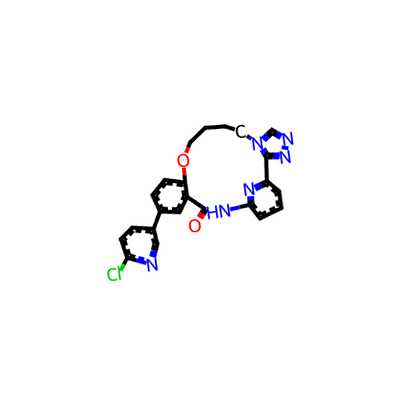 O=C1Nc2cccc(n2)-c2nncn2CCCCOc2ccc(-c3ccc(Cl)nc3)cc21